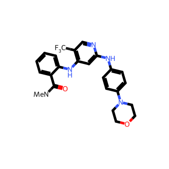 CNC(=O)c1ccccc1Nc1cc(Nc2ccc(N3CCOCC3)cc2)ncc1C(F)(F)F